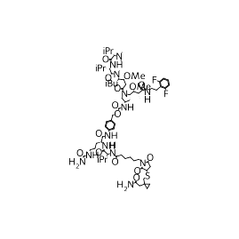 CC[C@H](C)[C@@H]([C@@H](CC(=O)N1C[C@@H](NC(=O)OCc2ccc(NC(=O)[C@H](CCCNC(N)=O)NC(=O)[C@@H](NC(=O)CCCCCN3C(=O)CC(SCC4(CC(N)=O)CC4)C3=O)C(C)C)cc2)C[C@H]1[C@H](OC)[C@@H](C)C(=O)NCCc1c(F)cccc1F)OC)N(C)C(=O)[C@@H](NC(=O)[C@H](C(C)C)N(C)C)C(C)C